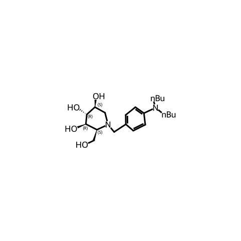 CCCCN(CCCC)c1ccc(CN2C[C@H](O)[C@@H](O)[C@H](O)[C@@H]2CO)cc1